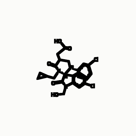 O=C(O)CC1C[C@H](c2cccc(Cl)c2)[C@@]2(C(=O)N(CO)c3cc(Cl)ccc32)N(CC2CC2)C1=O